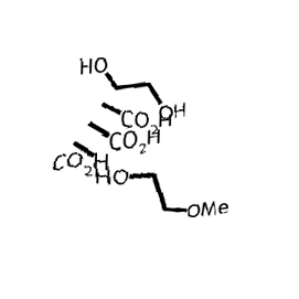 CC(=O)O.CC(=O)O.CC(=O)O.COCCO.OCCO